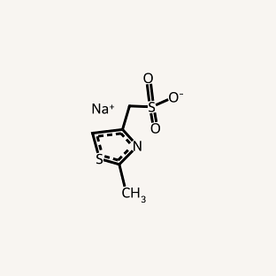 Cc1nc(CS(=O)(=O)[O-])cs1.[Na+]